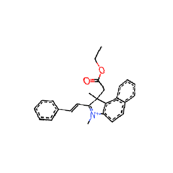 CCOC(=O)CC1(C)C(/C=C/c2ccccc2)=[N+](C)c2ccc3ccccc3c21